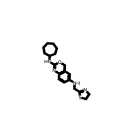 c1cc2c(cc1NCC1=NCCS1)COC(NC1CCCCCC1)=N2